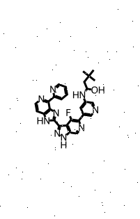 CC(C)(C)CC(O)Nc1cncc(-c2ncc3[nH]nc(-c4nc5c(-c6ccccn6)nccc5[nH]4)c3c2F)c1